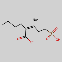 CCCCC(=CCCS(=O)(=O)O)C(=O)[O-].[Na+]